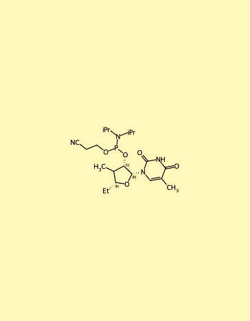 CC[C@H]1O[C@@H](n2cc(C)c(=O)[nH]c2=O)[C@@H](OP(OCCC#N)N(C(C)C)C(C)C)C1C